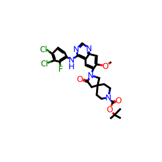 COc1cc2ncnc(Nc3ccc(Cl)c(Cl)c3F)c2cc1N1CC2(CCN(C(=O)OC(C)(C)C)CC2)CC1=O